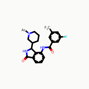 CC(=O)N1CCCC(C2NC(=O)c3cccc(NC(=O)c4cc(F)cc(C(F)(F)F)c4)c32)C1